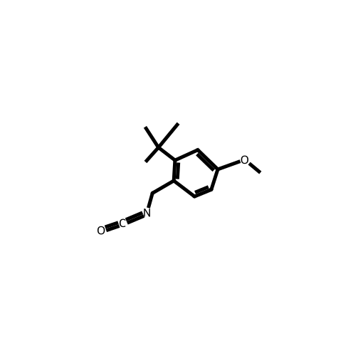 COc1ccc(CN=C=O)c(C(C)(C)C)c1